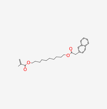 C=C(C)C(=O)OCCCCCCCCCCOC(=O)Cc1ccc2ccccc2c1